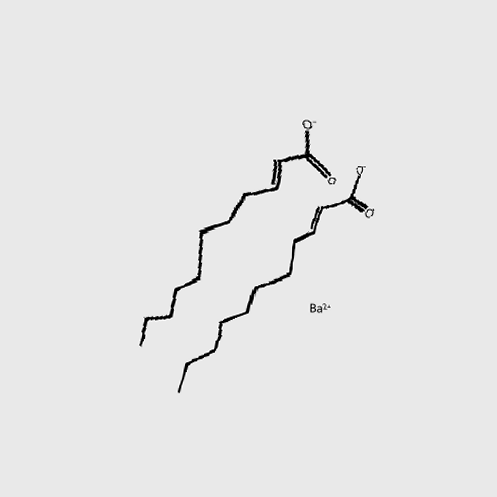 CCCCCCCCC=CC(=O)[O-].CCCCCCCCC=CC(=O)[O-].[Ba+2]